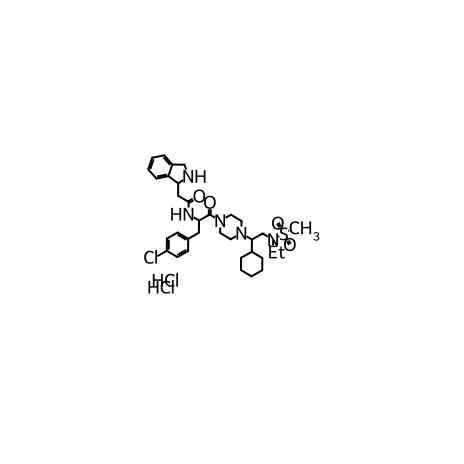 CCN(CC(C1CCCCC1)N1CCN(C(=O)C(Cc2ccc(Cl)cc2)NC(=O)CC2NCc3ccccc32)CC1)S(C)(=O)=O.Cl.Cl